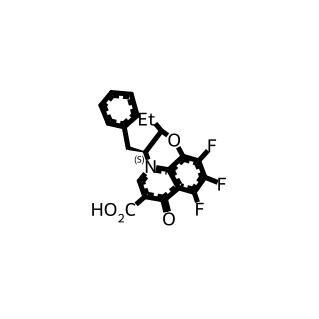 CCC1Oc2c(F)c(F)c(F)c3c(=O)c(C(=O)O)cn(c23)[C@H]1Cc1ccccc1